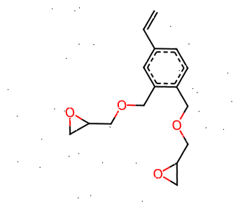 C=Cc1ccc(COCC2CO2)c(COCC2CO2)c1